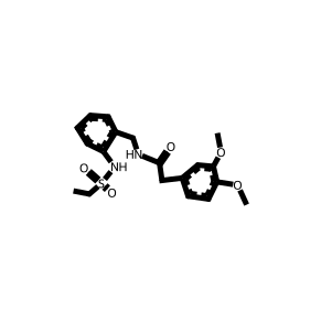 CCS(=O)(=O)Nc1ccccc1CNC(=O)Cc1ccc(OC)c(OC)c1